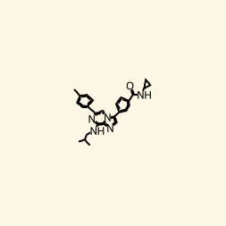 Cc1ccc(-c2cn3c(-c4ccc(C(=O)NC5CC5)cc4)cnc3c(NCC(C)C)n2)cc1